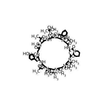 CC(C)C[C@H]1C(=O)N[C@@H](COC(C)(C)C)C(=O)N(C)[C@@H](Cc2ccccc2)C(=O)N(C)[C@@H](C(C)C)C(=O)N[C@H](C(=O)N2CCCCC2)CC(=O)N[C@H](C(C)C)C(=O)N(C)[C@@H](C)C(=O)N[C@@H](C(C)C)C(=O)N(C)[C@@H](CC(C)C)C(=O)N[C@@H](Cc2ccc(O)cc2)C(=O)N(C)CC(=O)N1C